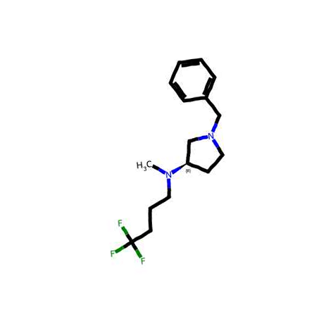 CN(CCCC(F)(F)F)[C@@H]1CCN(Cc2ccccc2)C1